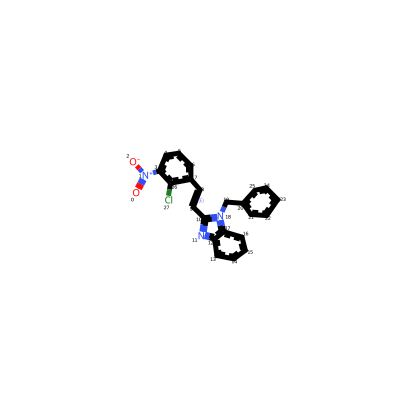 O=[N+]([O-])c1cccc(/C=C/c2nc3ccccc3n2Cc2ccccc2)c1Cl